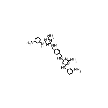 Nc1cccc(Nc2nc(N)nc(NCc3ccc(CNc4nc(N)nc(Nc5cccc(N)c5)n4)cc3)n2)c1